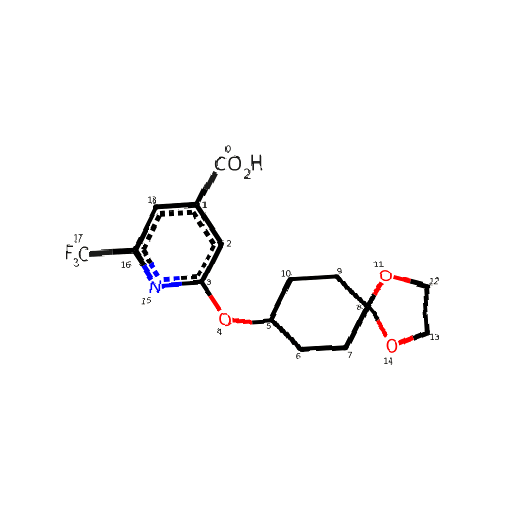 O=C(O)c1cc(OC2CCC3(CC2)OCCO3)nc(C(F)(F)F)c1